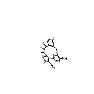 CC1c2nn(C)c(C#N)c2-c2cnc(N)c(n2)OCc2cc(F)ccc2C(=O)N1C